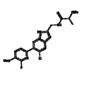 COc1ccc(-c2cc3[nH]c(CNC(=O)C(C)OC)cc3cc2Cl)nc1F